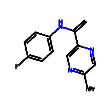 C=C(Nc1ccc(F)cc1)c1cnc(CCC)cn1